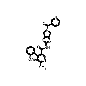 COc1ccccc1-c1cc(C)ncc1C(=O)Nc1nc2c(s1)CN(C(=O)c1cccnc1)C2